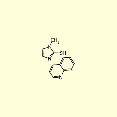 Cn1ccnc1S.c1ccc2ncccc2c1